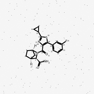 NC(=O)[C@H]1[C@H]2CC[C@H](C2)N1C(=O)c1nc(C2CC2)sc1-c1cccc(F)c1